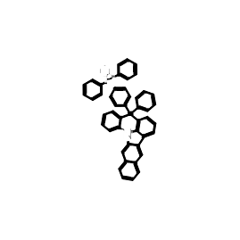 O=P(c1ccccc1)(c1ccccc1)c1ccc(C2(c3ccccc3)c3ccccc3-n3c4cc5ccccc5cc4c4cccc2c43)cc1